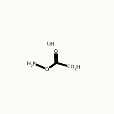 O=C(O)C(=O)OP.[LiH]